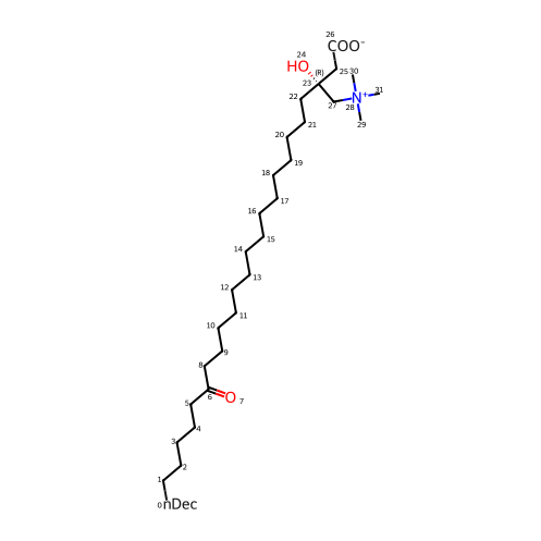 CCCCCCCCCCCCCCCC(=O)CCCCCCCCCCCCCCC[C@@](O)(CC(=O)[O-])C[N+](C)(C)C